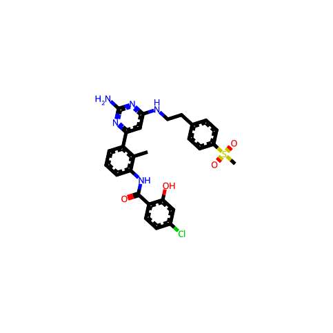 Cc1c(NC(=O)c2ccc(Cl)cc2O)cccc1-c1cc(NCCc2ccc(S(C)(=O)=O)cc2)nc(N)n1